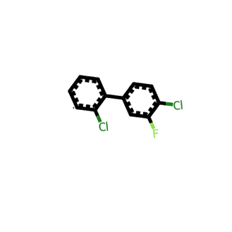 Fc1cc(-c2ccc[c]c2Cl)ccc1Cl